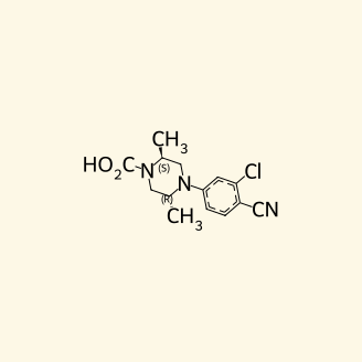 C[C@@H]1CN(C(=O)O)[C@@H](C)CN1c1ccc(C#N)c(Cl)c1